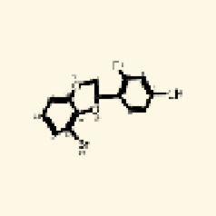 Fc1cc(Cl)ccc1C1COc2cccc(Br)c2O1